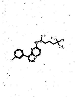 CCC[C@@H](CCCC(C)(C)O)Nc1ccn2ncc(-c3cccc(Cl)c3)c2n1